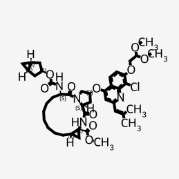 COC(=O)[C@@]12C[C@H]1CCCCCCC[C@H](NC(=O)O[C@@H]1C[C@@H]3C[C@@H]3C1)C(=O)N1C[C@H](Oc3cc(C=C(C)C)nc4c(Cl)c(OCC(OC)OC)ccc34)C[C@H]1C(=O)N2